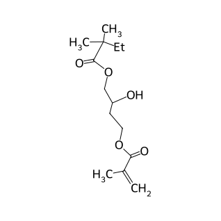 C=C(C)C(=O)OCCC(O)COC(=O)C(C)(C)CC